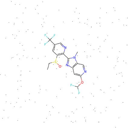 CC[S+]([O-])c1cc(C(F)(F)F)cnc1-c1nc2cc(OC(F)F)ncc2n1C